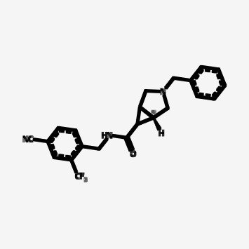 N#Cc1ccc(CNC(=O)C2C3CN(Cc4ccccc4)C[C@@H]32)c(C(F)(F)F)c1